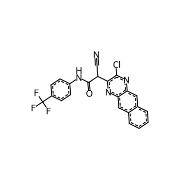 N#CC(C(=O)Nc1ccc(C(F)(F)F)cc1)c1nc2cc3ccccc3cc2nc1Cl